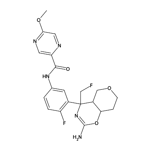 COc1cnc(C(=O)Nc2ccc(F)c(C3(CF)N=C(N)OC4CCOCC43)c2)cn1